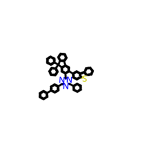 c1ccc(-c2ccc(-c3nc(-c4ccccc4)nc(-c4cc5c(cc4-c4ccc6sc7ccccc7c6c4)-c4ccccc4C5(c4ccccc4)c4ccccc4)n3)cc2)cc1